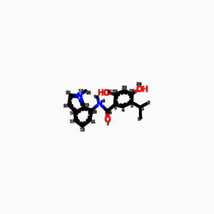 CC(C)c1cc(C(=O)N(C)c2cccc3ccn(C)c23)c(O)cc1O